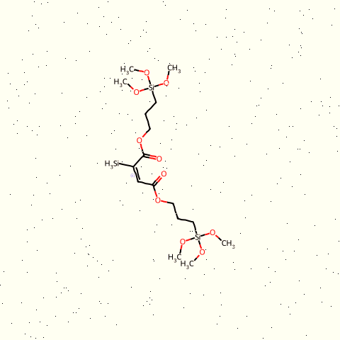 CO[Si](CCCOC(=O)/C=C(/[SiH3])C(=O)OCCC[Si](OC)(OC)OC)(OC)OC